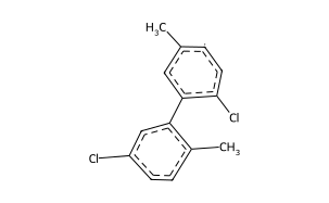 Cc1[c]cc(Cl)c(-c2cc(Cl)ccc2C)c1